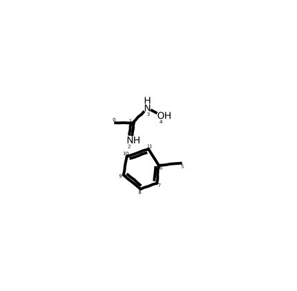 CC(=N)NO.Cc1ccccc1